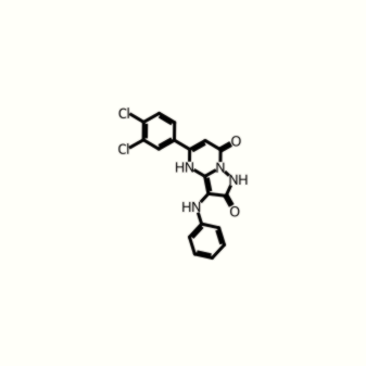 O=c1[nH]n2c(=O)cc(-c3ccc(Cl)c(Cl)c3)[nH]c2c1Nc1ccccc1